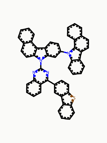 c1ccc2c(c1)ccc1c2c2ccc(-n3c4ccccc4c4ccc5ccccc5c43)cc2n1-c1nc(-c2ccc3sc4ccccc4c3c2)c2ccccc2n1